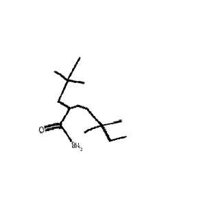 BC(=O)C(CC(C)(C)C)CC(C)(C)CC